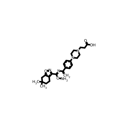 C=C(/N=C(\ON)c1noc2c1CCC(C)(C)C2)c1ccc(N2CCN(CCC(=O)O)CC2)cc1